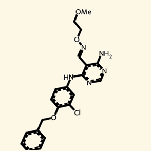 COCCO/N=C/c1c(N)ncnc1Nc1ccc(OCc2ccccc2)c(Cl)c1